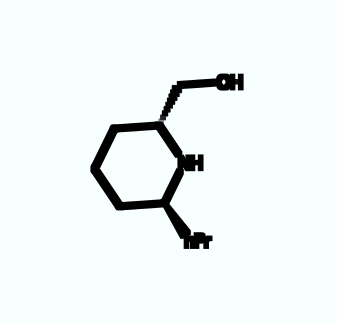 CCC[C@H]1CCC[C@H](CO)N1